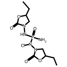 CCC1CN(NP(N)(=O)N(Cl)N2CC(CC)OC2=O)C(=O)O1